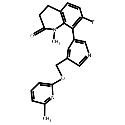 Cc1cccc(OCc2cncc(-c3c(F)ccc4c3N(C)C(=O)CC4)c2)n1